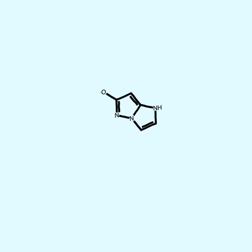 [O]c1cc2[nH]ccn2n1